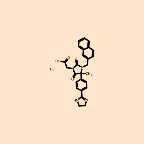 C[C@@]1(c2ccc(C3=NCCN3)cc2)C(=O)N(CC(=O)O)C(=O)N1Cc1ccc2ccccc2c1.Cl